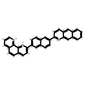 c1ccc2cc3nc(-c4ccc5cc(-c6ccc7ccc8cccnc8c7n6)ccc5c4)ccc3cc2c1